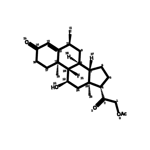 CC(=O)OCC(=O)[C@H]1CC[C@H]2[C@@H]3C[C@H](F)C4=CC(=O)CC[C@]4(C)[C@@]3(F)[C@H](O)C[C@]12C